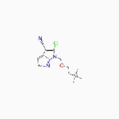 C[Si](C)(C)CCOCn1c(Cl)c(C#N)c2cccnc21